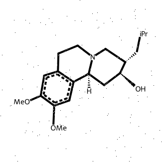 COc1cc2c(cc1OC)[C@@H]1C[C@H](O)[C@@H](CC(C)C)CN1CC2